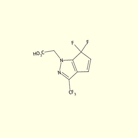 O=C(O)Cn1nc(C(F)(F)F)c2c1C(F)(F)C=C2